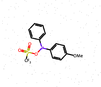 COc1ccc([I+](OS(=O)(=O)C(F)(F)F)c2ccccc2)cc1